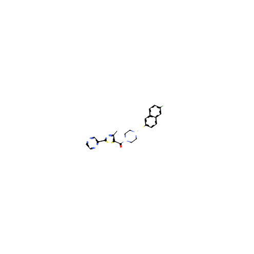 Cc1nc(-c2cnccn2)sc1C(=O)N1CCN(S(=O)(=O)c2ccc3cc(Cl)ccc3c2)CC1